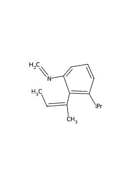 C=Nc1cccc(C(C)C)c1/C(C)=C\C